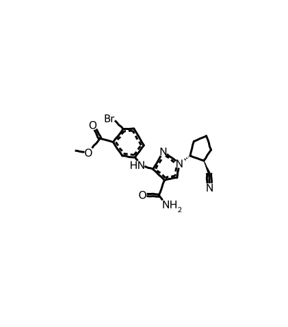 COC(=O)c1cc(Nc2nn([C@@H]3CCC[C@H]3C#N)cc2C(N)=O)ccc1Br